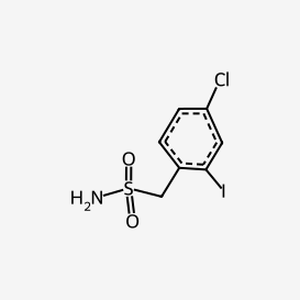 NS(=O)(=O)Cc1ccc(Cl)cc1I